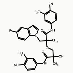 Cc1cc(NC(=O)C(C)(O)COC(C)(Cn2ccc3cc(F)ccc32)C(=O)Nc2ccc(C#N)c(C(F)(F)F)c2)ccc1C#N